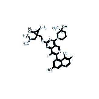 CCc1c(F)ccc2cc(O)cc(-c3ncc4c(N5CCC[C@@](C)(O)C5)nc(OCC5(CN(C)C)C(C)C5C)nc4c3F)c12